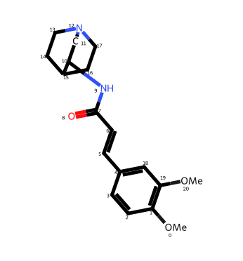 COc1ccc(C=CC(=O)NC2CN3CCC2CC3)cc1OC